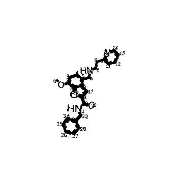 COc1ccc(CNCCc2ccccn2)c2cc(C(=O)NCc3ccccc3)oc12